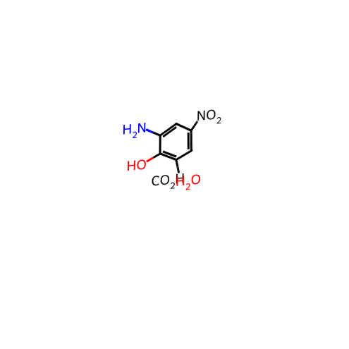 Nc1cc([N+](=O)[O-])cc(C(=O)O)c1O.O